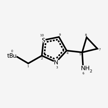 CC(C)(C)Cc1nc(C2(N)CC2)cs1